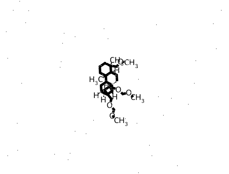 COCOC[C@H]1[C@H]2CC[C@@]3(CC[C@@H]4[C@](C)(COC)CCC[C@@]4(C)[C@@H]3C2)[C@@H]1OCOC